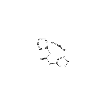 N=[N+]=N.O=[PH](Oc1ccccc1)Oc1ccccc1